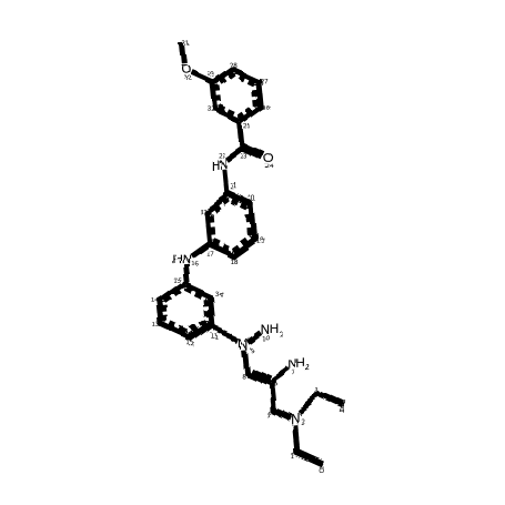 CCN(CC)C/C(N)=C/N(N)c1cccc(Nc2cccc(NC(=O)c3cccc(OC)c3)c2)c1